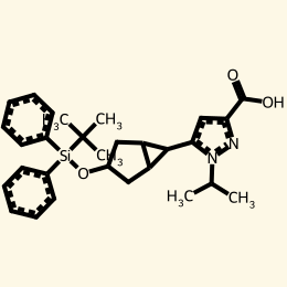 CC(C)n1nc(C(=O)O)cc1C1C2CC(O[Si](c3ccccc3)(c3ccccc3)C(C)(C)C)CC21